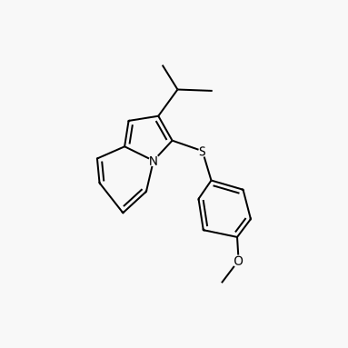 COc1ccc(Sc2c(C(C)C)cc3ccccn23)cc1